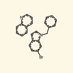 Brc1ccc2ccn(Cc3ccccc3)c2c1.c1ccc2ncccc2c1